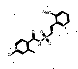 COc1ccccc1/C=C/S(=O)(=O)NC(=O)c1ccc(Cl)cc1C